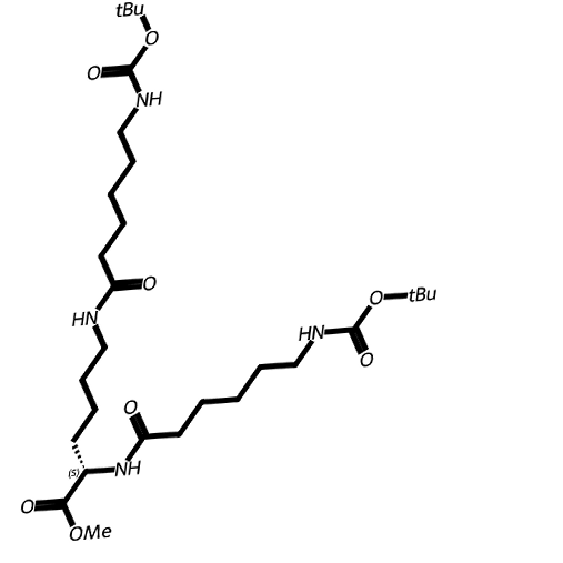 COC(=O)[C@H](CCCCNC(=O)CCCCCNC(=O)OC(C)(C)C)NC(=O)CCCCCNC(=O)OC(C)(C)C